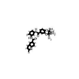 BC1(B)Oc2ccc(C(=O)Nc3ccc(F)c(NC(=O)c4ccc5nc(C)ccc5c4)c3)cc2OC1(B)B